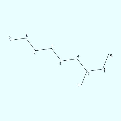 C[C]C(C)CCCCCC